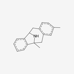 Cc1ccc2c(c1)CC1(C)NC(C2)c2ccccc21